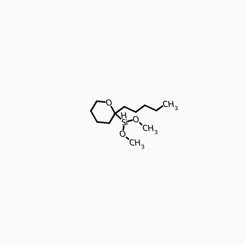 CCCCCC1([SiH](OC)OC)CCCCO1